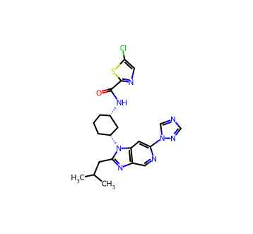 CC(C)Cc1nc2cnc(-n3cncn3)cc2n1[C@@H]1CCC[C@H](NC(=O)c2ncc(Cl)s2)C1